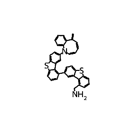 C=C1/C=C\C=C/N(c2ccc3sc4cccc(-c5ccc6sc7cccc(CN)c7c6c5)c4c3c2)c2ccccc21